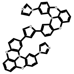 c1cc2c3c(c1)Oc1ccc(-n4ccnc4)cc1B3c1cc(-c3coc(-c4ccc5c(c4)B4c6cc(-n7ccnc7)ccc6Oc6cccc(c64)O5)c3)ccc1O2